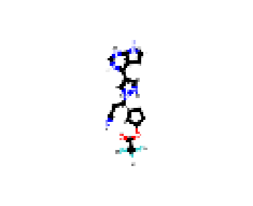 N#CCC([C@@H]1CC[C@@H](OC(=O)C(F)(F)F)C1)n1cc(-c2ncnc3[nH]ccc23)cn1